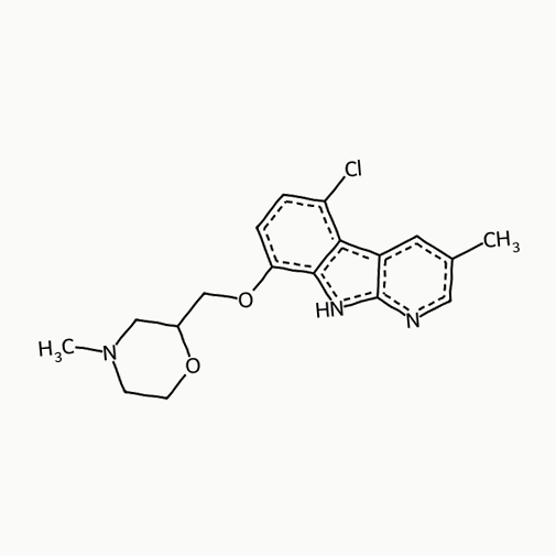 Cc1cnc2[nH]c3c(OCC4CN(C)CCO4)ccc(Cl)c3c2c1